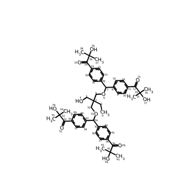 CCC(CO)(COC(c1ccc(C(=O)C(C)(C)O)cc1)c1ccc(C(=O)C(C)(C)O)cc1)COC(c1ccc(C(=O)C(C)(C)O)cc1)c1ccc(C(=O)C(C)(C)O)cc1